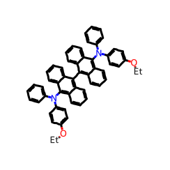 CCOc1ccc(N(c2ccccc2)c2c3ccccc3c(-c3c4ccccc4c(N(c4ccccc4)c4ccc(OCC)cc4)c4ccccc34)c3ccccc23)cc1